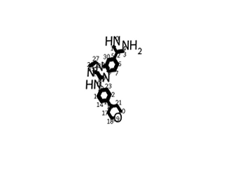 N=C/C(=C\N)c1ccc2nc(Nc3ccc(C4CCOCC4)cc3)c3nccn3c2c1